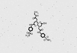 CCNC(=O)CN(CCN(CC(=O)O)CC(=O)Nc1ccc(S(N)(=O)=O)cc1)CC(=O)Nc1ccc(S(N)(=O)=O)cc1